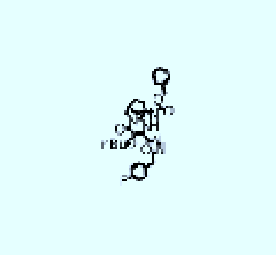 CCCCOc1c(-c2nnc(Cc3ccc(F)cc3)o2)nc2n(c1=O)CC1CCC2(NC(=O)OCc2ccccc2)CC1